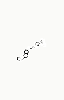 CCN(CC)C1CCN(CCCOc2ccc3c(c2)CCC(CN2CCCC2)C3)C1